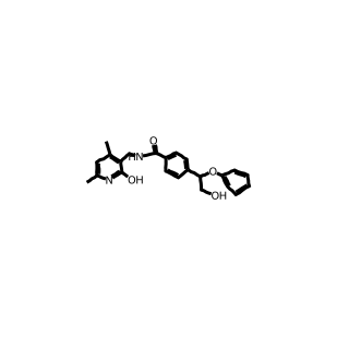 Cc1cc(C)c(CNC(=O)c2ccc(C(CO)Oc3ccccc3)cc2)c(O)n1